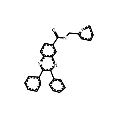 O=C(NCc1ccccn1)c1ccc2nc(-c3ccccc3)c(-c3ccccc3)nc2c1